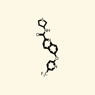 O=C(NC1CCSC1)c1ccc2cc(Oc3ccc(C(F)(F)F)cn3)ccc2n1